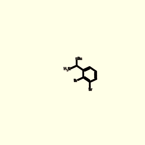 CCCCC([SiH3])c1cccc(Br)c1Br